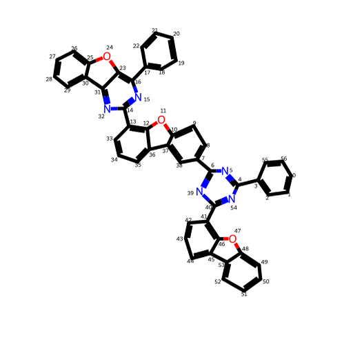 c1ccc(-c2nc(-c3ccc4oc5c(-c6nc(-c7ccccc7)c7oc8ccccc8c7n6)cccc5c4c3)nc(-c3cccc4c3oc3ccccc34)n2)cc1